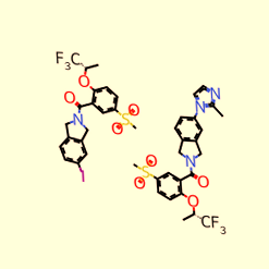 C[C@H](Oc1ccc(S(C)(=O)=O)cc1C(=O)N1Cc2ccc(I)cc2C1)C(F)(F)F.Cc1nccn1-c1ccc2c(c1)CN(C(=O)c1cc(S(C)(=O)=O)ccc1O[C@@H](C)C(F)(F)F)C2